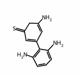 NC1=CC(c2c(N)cccc2N)=CC(=S)C1